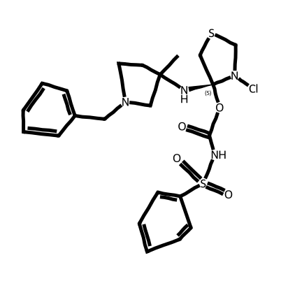 CC1(N[C@@]2(OC(=O)NS(=O)(=O)c3ccccc3)CSCN2Cl)CCN(Cc2ccccc2)C1